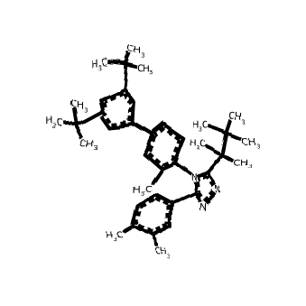 Cc1ccc(-c2nnc(C(C)(C)C(C)(C)C)n2-c2ccc(-c3cc(C(C)(C)C)cc(C(C)(C)C)c3)cc2C)cc1C